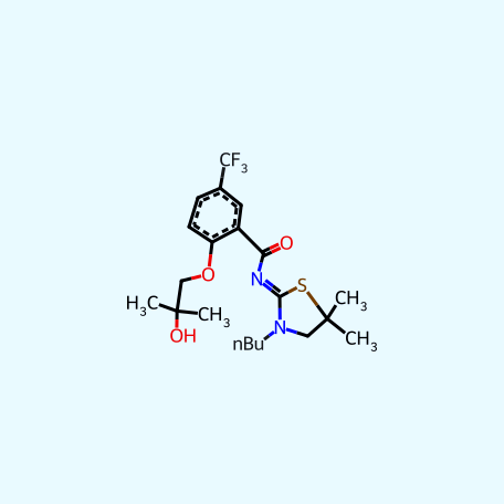 CCCCN1CC(C)(C)SC1=NC(=O)c1cc(C(F)(F)F)ccc1OCC(C)(C)O